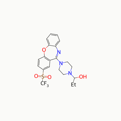 CCC(O)N1CCN(C2=Nc3ccccc3Oc3ccc(S(=O)(=O)C(F)(F)F)cc32)CC1